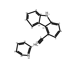 C#Cc1cccc2[nH]c3ccccc3c12.c1ccncc1